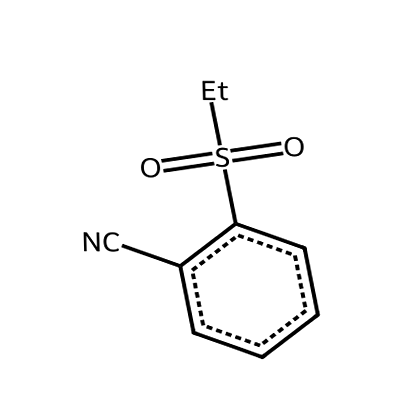 CCS(=O)(=O)c1ccccc1C#N